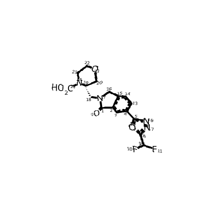 O=C1c2cc(-c3nnc(C(F)F)o3)ccc2CN1C[C@H]1COCCN1C(=O)O